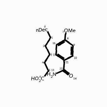 CCCCCCCCCCCCCCCC(=O)O.COc1ccc(C(N)=O)cc1